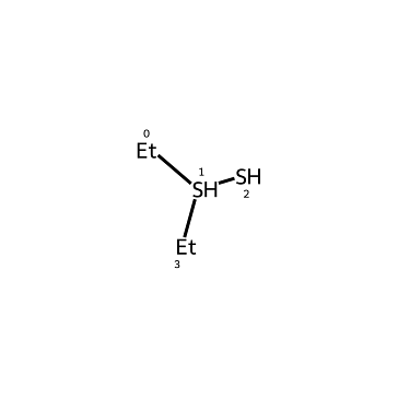 CC[SH](S)CC